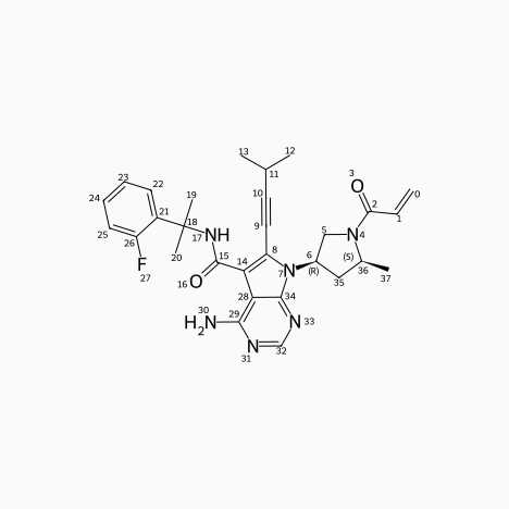 C=CC(=O)N1C[C@H](n2c(C#CC(C)C)c(C(=O)NC(C)(C)c3ccccc3F)c3c(N)ncnc32)C[C@@H]1C